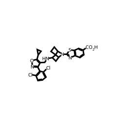 O=C(O)c1ccc2nc(N3C4CCC45C(NCc4c(-c6c(Cl)cccc6Cl)noc4C4CC4)CC35)sc2c1